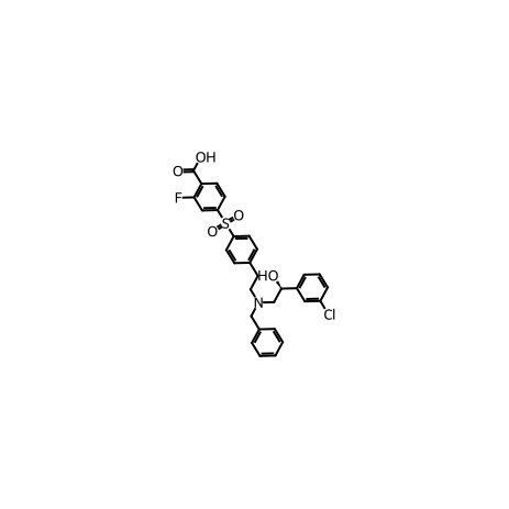 O=C(O)c1ccc(S(=O)(=O)c2ccc(CCN(Cc3ccccc3)C[C@@H](O)c3cccc(Cl)c3)cc2)cc1F